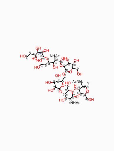 CC(=O)NC1C(O)[C@H](O[C@@H]2OC(CO[C@H]3OC(CO)[C@@H](O)C(O)C3O[C@H](O)C(NC(C)=O)C(O)[C@@H](CCO)O[C@H](O)/C(O)=C(/O)[C@@H](O)CCO)[C@@H](O)C(O)C2O)C(CO)O[C@H]1O[C@@H]1C(CO)O[C@@H](C)C(NC(C)=O)C1O